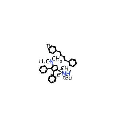 C(C=Cc1ccccc1)=Cc1ccccc1.CN(C)C1=C(c2ccccc2)C(c2ccccc2)=C([Si](C)(C)NC(C)(C)C)C1.[Ti]